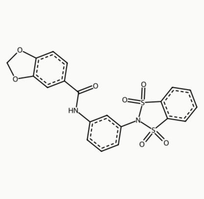 O=C(Nc1cccc(N2S(=O)(=O)c3ccccc3S2(=O)=O)c1)c1ccc2c(c1)OCO2